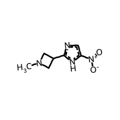 CN1CC(c2ncc([N+](=O)[O-])[nH]2)C1